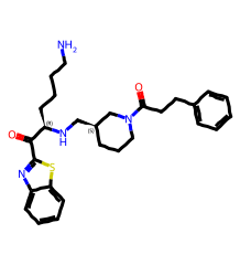 NCCCC[C@@H](NC[C@@H]1CCCN(C(=O)CCc2ccccc2)C1)C(=O)c1nc2ccccc2s1